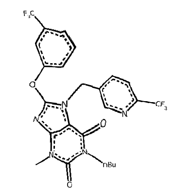 CCCCn1c(=O)c2c(nc(Oc3cccc(C(F)(F)F)c3)n2Cc2ccc(C(F)(F)F)nc2)n(C)c1=O